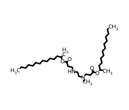 CCCCCCCCCCCCC(C)OC(=O)CCNCCN(C)CCC(=O)OC(C)CCCCCCCCCCCC